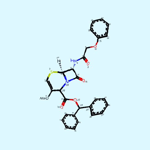 COC1=CS[C@H]2[C@H](NC(=O)COc3ccccc3)C(=O)N2C1C(=O)OC(c1ccccc1)c1ccccc1